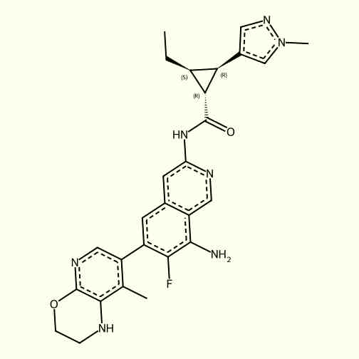 CC[C@@H]1[C@@H](C(=O)Nc2cc3cc(-c4cnc5c(c4C)NCCO5)c(F)c(N)c3cn2)[C@@H]1c1cnn(C)c1